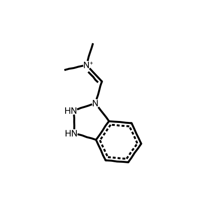 C[N+](C)=CN1NNc2ccccc21